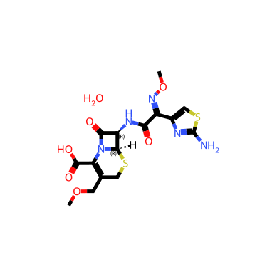 COCC1=C(C(=O)O)N2C(=O)[C@@H](NC(=O)C(=NOC)c3csc(N)n3)[C@H]2SC1.O